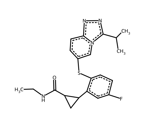 CCNC(=O)C1CC1c1cc(F)ccc1Sc1ccc2nnc(C(C)C)n2c1